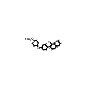 CCOC(=O)N1CCC(Oc2ccc(-c3ccc4cccnc4c3C)cc2)CC1